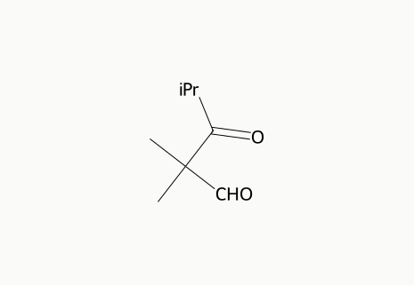 CC(C)C(=O)C(C)(C)C=O